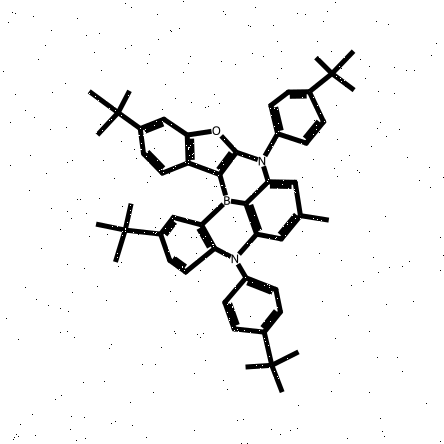 Cc1cc2c3c(c1)N(c1ccc(C(C)(C)C)cc1)c1oc4cc(C(C)(C)C)ccc4c1B3c1cc(C(C)(C)C)ccc1N2c1ccc(C(C)(C)C)cc1